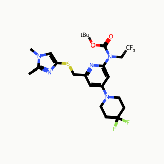 Cc1nc(SCc2cc(N3CCC(F)(F)CC3)cc(N(CC(F)(F)F)C(=O)OC(C)(C)C)n2)cn1C